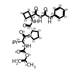 C=C(C)OC(=O)N[C@H](C(=O)N1CCC[C@H]1C(=O)NC1(C(=O)NC(=O)Nc2ccccc2)CCC1)C(C)C